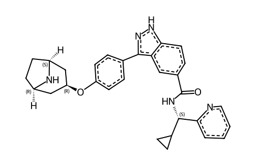 O=C(N[C@H](c1ccccn1)C1CC1)c1ccc2[nH]nc(-c3ccc(O[C@H]4C[C@H]5CC[C@@H](C4)N5)cc3)c2c1